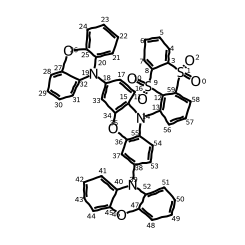 O=S1(=O)c2ccccc2S(=O)(=O)c2c(N3c4ccc(N5c6ccccc6Oc6ccccc65)cc4Oc4cc(N5c6ccccc6Oc6ccccc65)ccc43)cccc21